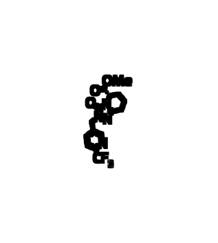 COC(=O)[C@@H]1CCCc2nn(Cc3ccc(C(F)(F)F)nc3)c(=O)n21